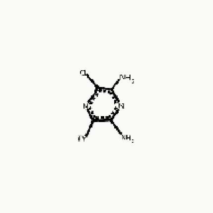 CC(C)c1nc(Cl)c(N)nc1N